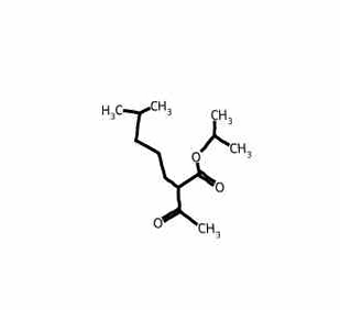 CC(=O)C(CCCC(C)C)C(=O)OC(C)C